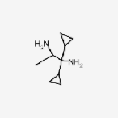 CC(N)C(N)(C1CC1)C1CC1